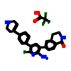 Nc1nc(F)c(-c2ccc(C3=CCNCC3)cc2)cc1-c1ccc2c(c1)CCNC2=O.O=C(O)C(F)(F)F